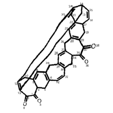 O=C1C(=O)C2CC3=C4C=C2CC2=C1CC1C=CC5CC6=C(C=C5CC1=C2)CC1=CC(=C(C=C3)CC1C(=O)C6=O)C4